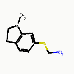 CB1CCc2ccc(SCN)cc21